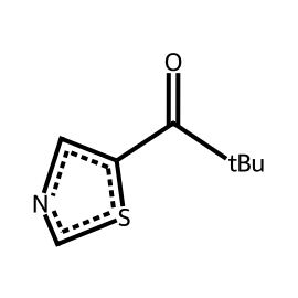 CC(C)(C)C(=O)c1cncs1